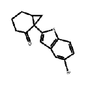 O=C1CCCC2CC12c1cc2cc(Br)ccc2s1